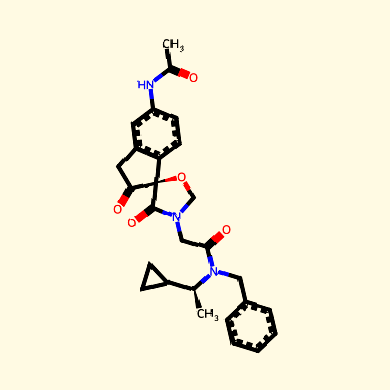 CC(=O)Nc1ccc2c(c1)CC(=O)[C@]21OCN(CC(=O)N(Cc2ccccc2)[C@@H](C)C2CC2)C1=O